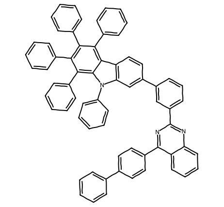 c1ccc(-c2ccc(-c3nc(-c4cccc(-c5ccc6c7c(-c8ccccc8)c(-c8ccccc8)c(-c8ccccc8)c(-c8ccccc8)c7n(-c7ccccc7)c6c5)c4)nc4ccccc34)cc2)cc1